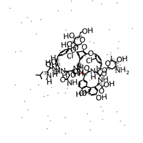 CN[C@H](CC(C)C)C(=O)N[C@H]1C(=O)N[C@@H](CC(N)=O)C(=O)N[C@H]2C(=O)N[C@H]3C(=O)N[C@H](C(=O)N[C@@H](C(=O)O)c4cc(O)cc(O)c4-c4cc3ccc4O)C(O[C@H]3C[C@](C)(N)[C@@H](O)[C@H](C)O3)c3ccc(c(Cl)c3)Oc3cc2cc(c3OC2O[C@H](CO)[C@@H](O)[C@H](O)[C@H]2O)Oc2ccc(cc2Cl)[C@H]1O